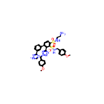 COc1ccc(CNS(=O)(=O)c2c(S(=O)(=O)NCCN)ccc(-c3cccc(-c4nc[nH]n4)c3)c2-c2nnn(Cc3ccc(OC)cc3)n2)cc1